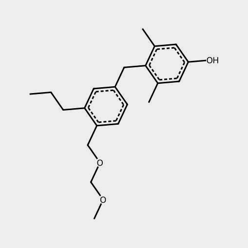 CCCc1cc(Cc2c(C)cc(O)cc2C)ccc1COCOC